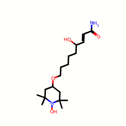 CC1(C)CC(OCCCCCC(O)/C=C/C(N)=O)CC(C)(C)N1O